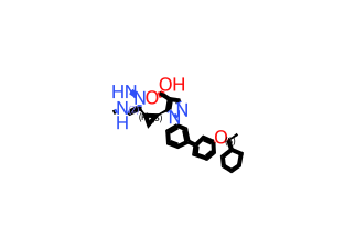 CN/C=C(\N=N)[C@@H]1C[C@@H]1c1c(C(=O)O)cnn1-c1cccc(-c2cccc(O[C@@H](C)C3CCCCC3)c2)c1